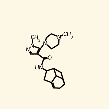 CN1CCN(c2c(C(=O)NC3CC4=CCC5CC4C3C5)cnn2C)CC1